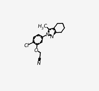 Cc1c2c(nn1-c1ccc(Cl)c(OCC#N)c1)CCCC2